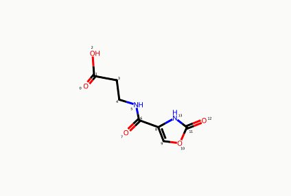 O=C(O)CCNC(=O)c1coc(=O)[nH]1